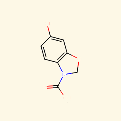 O=C(O)N1COc2cc(O)ccc21